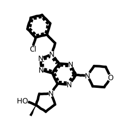 C[C@]1(O)CCN(c2nc(N3CCOCC3)nc3c2nnn3Cc2ccccc2Cl)C1